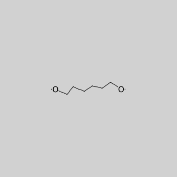 [O]CCCCCC[O]